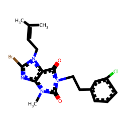 CC(C)=CCn1c(Br)nc2c1c(=O)n(CCc1cccc(Cl)c1)c(=O)n2C